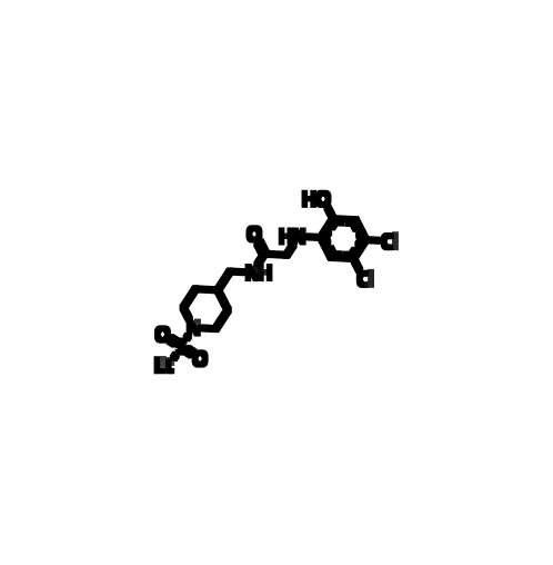 CCS(=O)(=O)N1CCC(CNC(=O)CNc2cc(Cl)c(Cl)cc2O)CC1